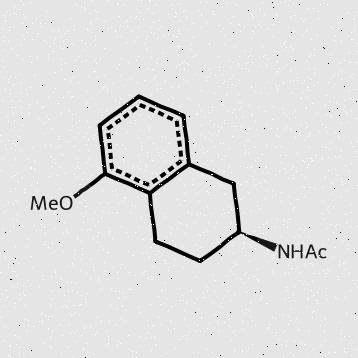 COc1cccc2c1CC[C@H](NC(C)=O)C2